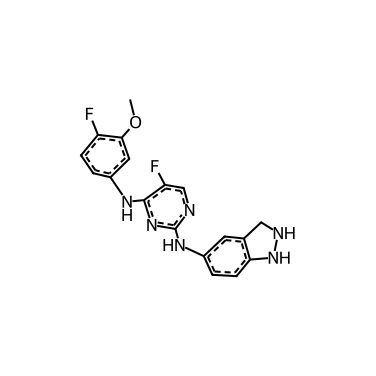 COc1cc(Nc2nc(Nc3ccc4c(c3)CNN4)ncc2F)ccc1F